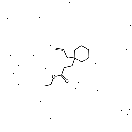 C=CCC1(CCC(=O)OCC)CCCCC1